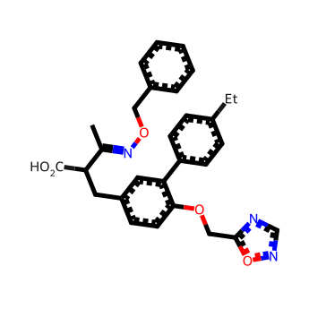 CCc1ccc(-c2cc(CC(C(=O)O)C(C)=NOCc3ccccc3)ccc2OCc2ncno2)cc1